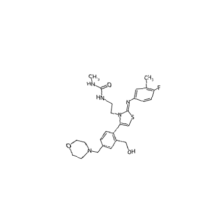 CNC(=O)NCCn1c(-c2ccc(CN3CCOCC3)cc2CO)cs/c1=N\c1ccc(F)c(C)c1